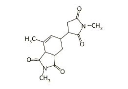 CC1=CC(C2CC(=O)N(C)C2=O)CC2C(=O)N(C)C(=O)C12